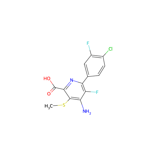 CSc1c(C(=O)O)nc(-c2ccc(Cl)c(F)c2)c(F)c1N